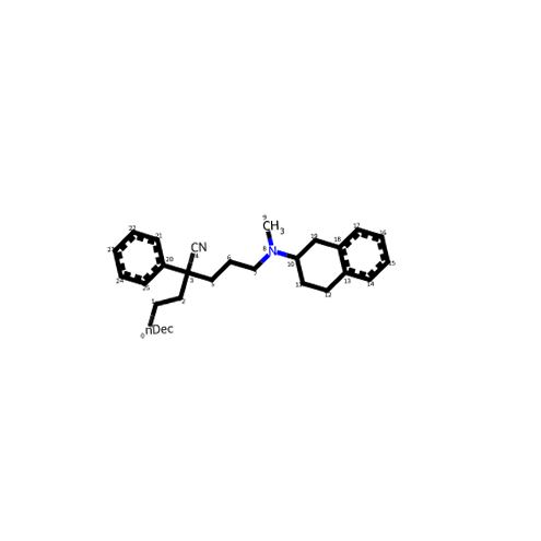 CCCCCCCCCCCCC(C#N)(CCCN(C)C1CCc2ccccc2C1)c1ccccc1